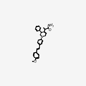 COc1ccc(C=Cc2ccc(N3CCC(C(C)C(N)=O)C(c4ccccc4)C3)cc2)cc1